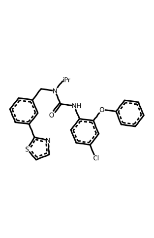 CC(C)N(Cc1cccc(-c2nccs2)c1)C(=O)Nc1ccc(Cl)cc1Oc1ccccc1